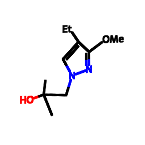 CCc1cn(CC(C)(C)O)nc1OC